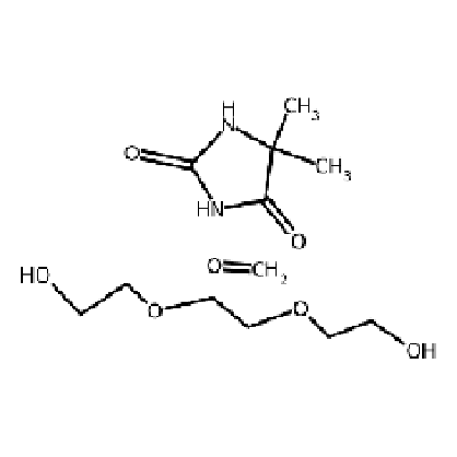 C=O.CC1(C)NC(=O)NC1=O.OCCOCCOCCO